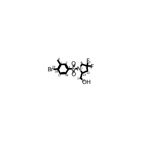 Cc1cc(S(=O)(=O)N2CC(F)(F)CC2CO)ccc1Br